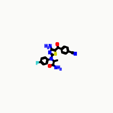 CC(C(N)=O)N(c1ccc(F)cc1)c1nc(N)c(C(=O)c2ccc(C#N)cc2)s1